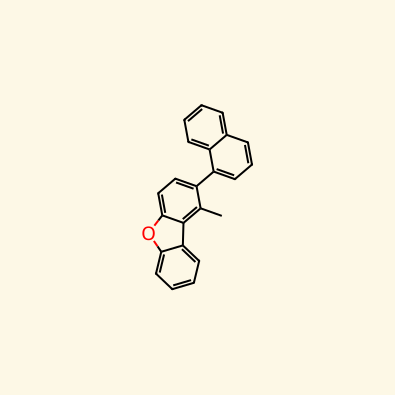 Cc1c(-c2cccc3ccccc23)ccc2oc3ccccc3c12